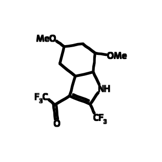 COC1CC(OC)C2NC(C(F)(F)F)=C(C(=O)C(F)(F)F)C2C1